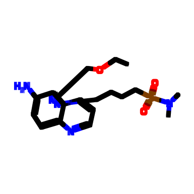 CCOCC1N=C2C(N)=CC=C3N=CC=CC32N1CCCCS(=O)(=O)N(C)C